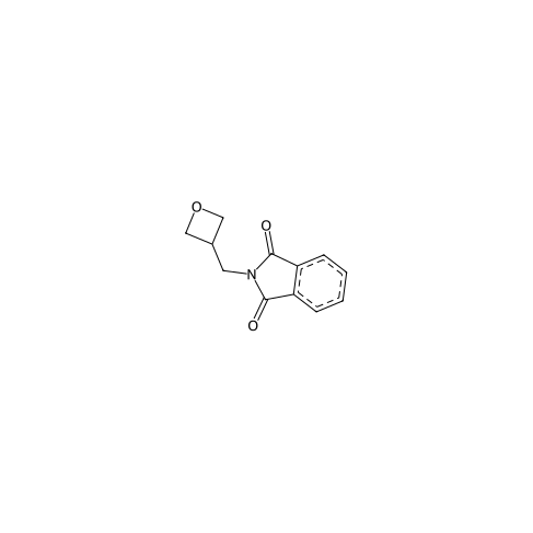 O=C1c2ccccc2C(=O)N1CC1COC1